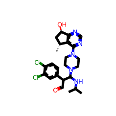 CC(C)NC(C(C=O)c1ccc(Cl)c(Cl)c1)N1CCN(c2ncnc3c2[C@H](C)C[C@H]3O)CC1